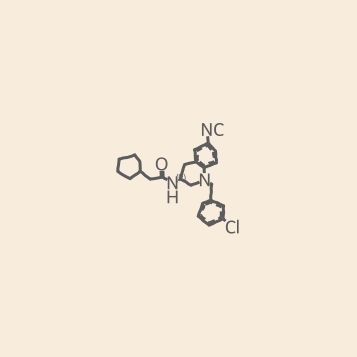 [C-]#[N+]c1ccc2c(c1)C[C@@H](NC(=O)CC1CCCCC1)CN2Cc1cccc(Cl)c1